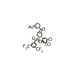 CC(=O)N1CCCC(C(=O)N2CC[C@@H](N(C)C(=O)c3cc(C(F)(F)F)cc(C(F)(F)F)c3)[C@H](c3ccc(Cl)c(Cl)c3)C2)C1